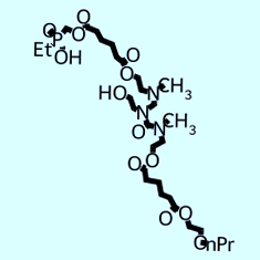 CCCOCCOC(=O)CCCCC(=O)OCCN(C)C(=O)N(CCO)CN(C)CCOC(=O)CCCCC(=O)OCP(=O)(CC)CO